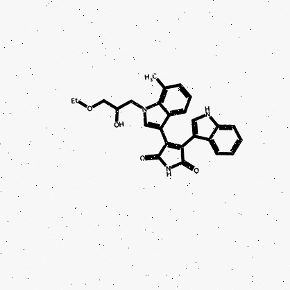 CCOCC(O)Cn1cc(C2=C(c3c[nH]c4ccccc34)C(=O)NC2=O)c2cccc(C)c21